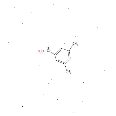 Cc1cc(C)cc(C)c1.O